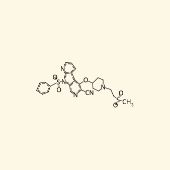 CS(=O)(=O)CCN1CCC(Oc2c(C#N)ncc3c2c2cccnc2n3S(=O)(=O)c2ccccc2)CC1